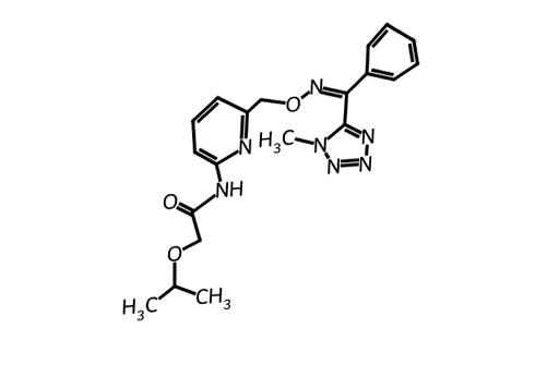 CC(C)OCC(=O)Nc1cccc(CO/N=C(/c2ccccc2)c2nnnn2C)n1